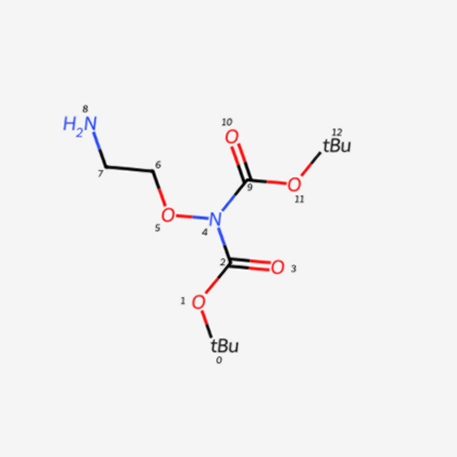 CC(C)(C)OC(=O)N(OCCN)C(=O)OC(C)(C)C